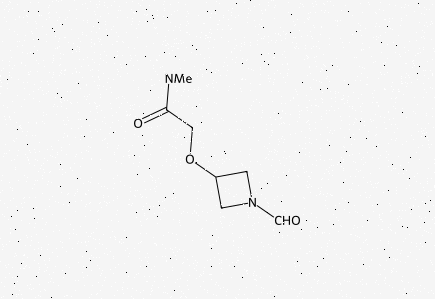 CNC(=O)COC1CN(C=O)C1